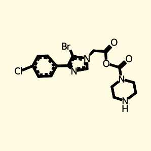 O=C(Cn1cnc(-c2ccc(Cl)cc2)c1Br)OC(=O)N1CCNCC1